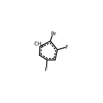 C.Fc1ccc(Br)c(F)c1